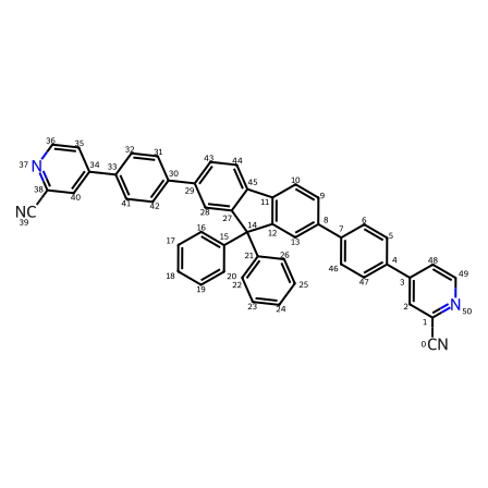 N#Cc1cc(-c2ccc(-c3ccc4c(c3)C(c3ccccc3)(c3ccccc3)c3cc(-c5ccc(-c6ccnc(C#N)c6)cc5)ccc3-4)cc2)ccn1